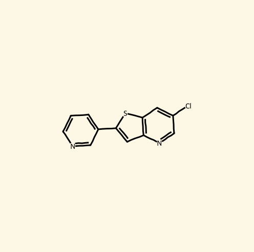 Clc1cnc2cc(-c3cccnc3)sc2c1